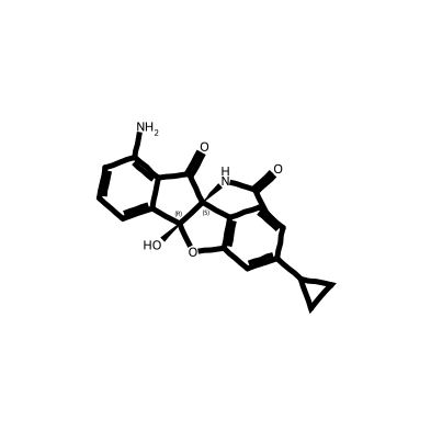 CC(=O)N[C@]12C(=O)c3c(N)cccc3[C@@]1(O)Oc1cc(C3CC3)ccc12